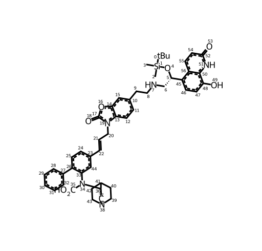 CC(C)(C)[Si](C)(C)O[C@@H](CNCCc1ccc2c(c1)oc(=O)n2CC=Cc1ccc(-c2ccccc2)c(N(C(=O)O)C2CN3CCC2CC3)c1)c1ccc(O)c2[nH]c(=O)ccc12